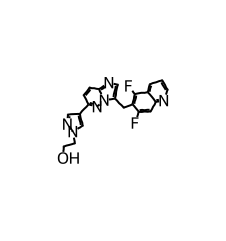 OCCn1cc(-c2ccc3ncc(Cc4c(F)cc5ncccc5c4F)n3n2)cn1